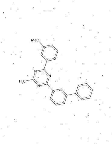 COc1cccc(-c2nc(C)nc(-c3cccc(-c4ccccc4)c3)n2)c1